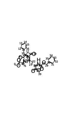 COC(=O)[C@H](C)NC(=O)[C@@]1(Cc2ccccc2)CC(=O)N1CCC[C@H](NC(=O)OCc1ccccc1)C(=O)OC